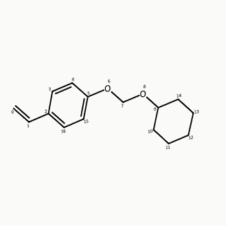 C=Cc1ccc(OCOC2CCCCC2)cc1